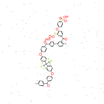 Cc1ccc(C(=O)c2ccc(Oc3ccc(C(c4ccc(Oc5ccc(C(=O)c6ccc(-c7ccc(C)c(C(=O)c8ccc(Oc9ccc(S(=O)(=O)O)cc9)c(SOOO)c8)c7)cc6)cc5)cc4)(C(F)(F)F)C(F)(F)F)cc3)cc2)cc1